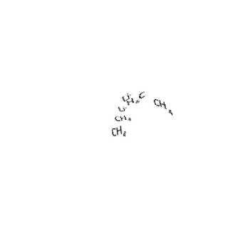 C.C.C.C.[Li].[Li]